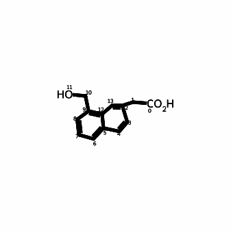 O=C(O)Cc1ccc2cccc(CO)c2c1